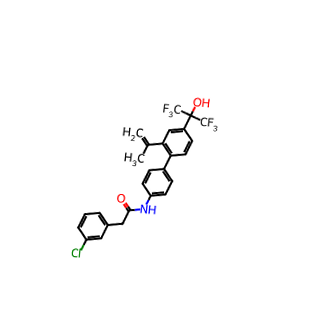 C=C(C)c1cc(C(O)(C(F)(F)F)C(F)(F)F)ccc1-c1ccc(NC(=O)Cc2cccc(Cl)c2)cc1